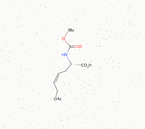 CC(=O)OC/C=C\C[C@H](NC(=O)OC(C)(C)C)C(=O)O